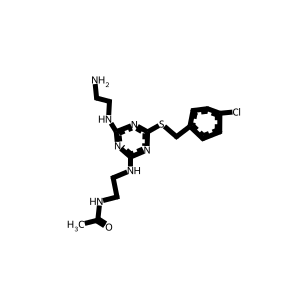 CC(=O)NCCNc1nc(NCCN)nc(SCc2ccc(Cl)cc2)n1